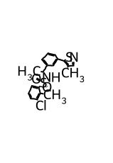 Cc1cnsc1-c1cccc(C(C)NS(=O)(=O)c2cccc(Cl)c2C)c1